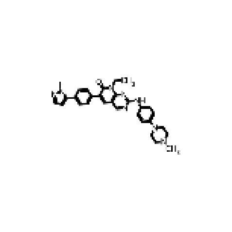 CCn1c(=O)c(-c2ccc(-c3ccn[nH]3)cc2)cc2cnc(Nc3ccc(N4CCN(C)CC4)cc3)nc21